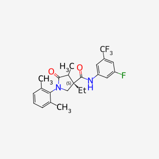 CC[C@@]1(C(=O)Nc2cc(F)cc(C(F)(F)F)c2)CN(c2c(C)cccc2C)C(=O)C1C